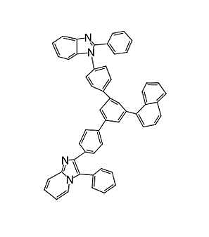 c1ccc(-c2nc3ccccc3n2-c2ccc(-c3cc(-c4ccc(-c5nc6ccccn6c5-c5ccccc5)cc4)cc(-c4cccc5ccccc45)c3)cc2)cc1